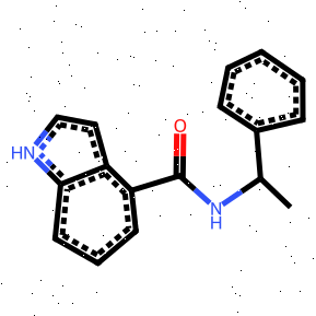 CC(NC(=O)c1cccc2[nH]ccc12)c1ccccc1